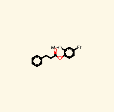 CCc1ccc(OC(=O)CCc2ccccc2)c(OC)c1